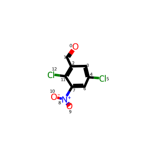 O=Cc1cc(Cl)cc([N+](=O)[O-])c1Cl